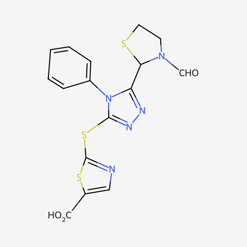 O=CN1CCSC1c1nnc(Sc2ncc(C(=O)O)s2)n1-c1ccccc1